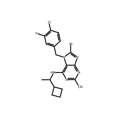 CC(Nc1nc(C#N)nc2nc(Br)n(Cc3ccc(Cl)c(F)c3)c12)C1CCC1